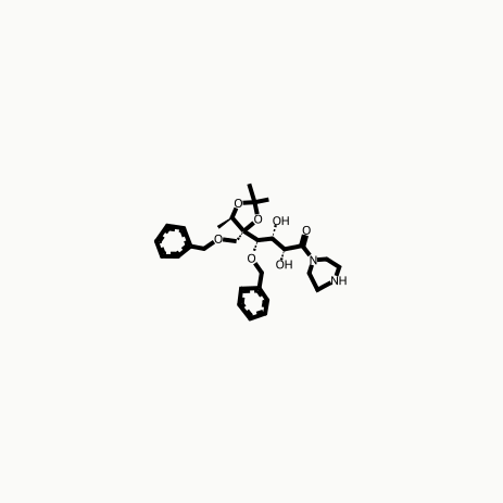 C[C@H]1OC(C)(C)O[C@@]1(COCc1ccccc1)[C@@H](OCc1ccccc1)[C@H](O)[C@@H](O)C(=O)N1CCNCC1